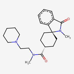 CN(CCN1CCCCC1)C(=O)[C@H]1CC[C@@]2(CC1)c1ccccc1C(=O)N2C